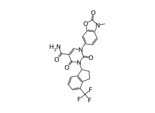 Cn1c(=O)oc2cc(-n3cc(C(N)=O)c(=O)n(C4CCc5c4cccc5C(F)(F)F)c3=O)ccc21